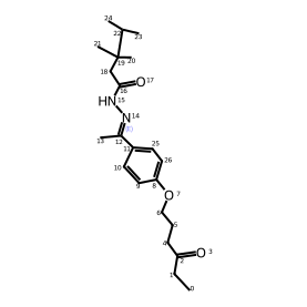 CCC(=O)CCCOc1ccc(/C(C)=N/NC(=O)CC(C)(C)C(C)C)cc1